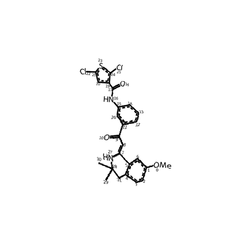 COc1ccc2c(c1)C(=CC(=O)c1cccc(NC(=O)c3cc(Cl)sc3Cl)c1)NC(C)(C)C2